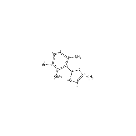 COc1c(Br)ccc(N)c1C1CC(C)=NO1